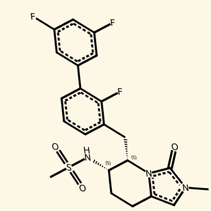 Cn1cc2n(c1=O)[C@@H](Cc1cccc(-c3cc(F)cc(F)c3)c1F)[C@@H](NS(C)(=O)=O)CC2